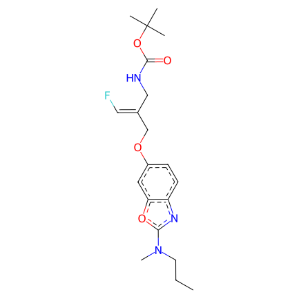 CCCN(C)c1nc2ccc(OCC(=CF)CNC(=O)OC(C)(C)C)cc2o1